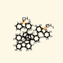 Cp1c2ccccc2c2c(-c3cccc4c(-c5cccc6c5C5(c7ccccc7-c7ccccc75)c5ccccc5-6)c5cccc(-c6cccc7c6c6ccccc6p7C)c5cc34)cccc21